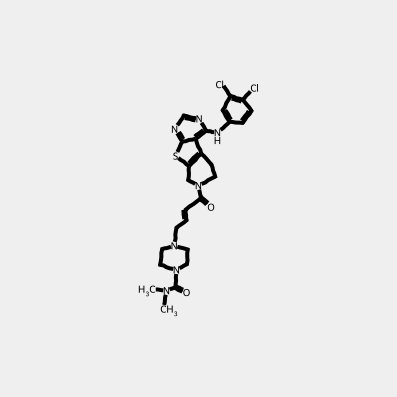 CN(C)C(=O)N1CCN(CC=CC(=O)N2CCc3c(sc4ncnc(Nc5ccc(Cl)c(Cl)c5)c34)C2)CC1